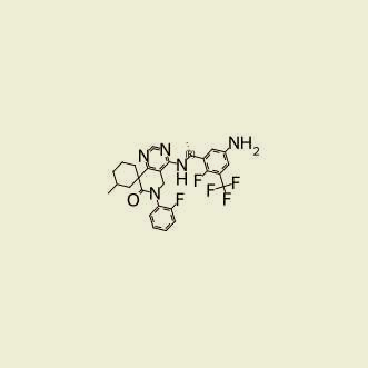 CC1CCCC2(C1)C(=O)N(c1ccccc1F)Cc1c(N[C@H](C)c3cc(N)cc(C(F)(F)F)c3F)ncnc12